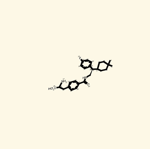 CC1(C)CCC([C@@H](CNC(=O)c2ccc(CC(N)C(=O)O)cc2)c2ccc(F)cc2)CC1